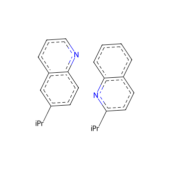 CC(C)c1ccc2ccccc2n1.CC(C)c1ccc2ncccc2c1